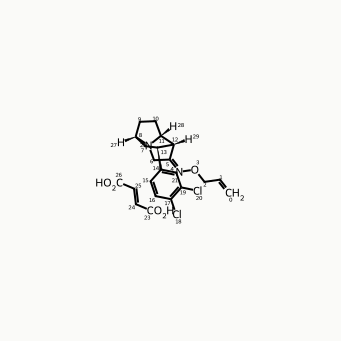 C=CCON=C1CN2[C@H]3CC[C@@H]2[C@H]1[C@@H](c1ccc(Cl)c(Cl)c1)C3.O=C(O)/C=C/C(=O)O